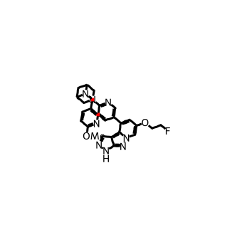 COc1ccc(CN2C3CC2CN(c2ccc(-c4cc(OCCF)cn5nc6[nH]ncc6c45)cn2)C3)cn1